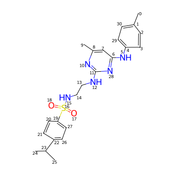 Cc1ccc(Nc2cc(C)nc(NCCNS(=O)(=O)c3ccc(C(C)C)cc3)n2)cc1